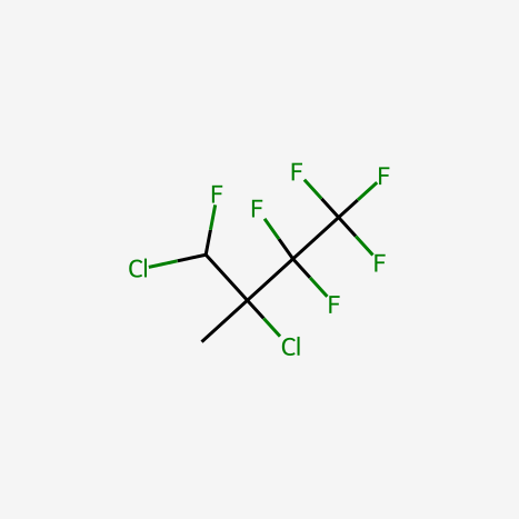 CC(Cl)(C(F)Cl)C(F)(F)C(F)(F)F